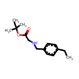 [CH2]Cc1ccc(CNCC(=O)OC(C)(C)C)cc1